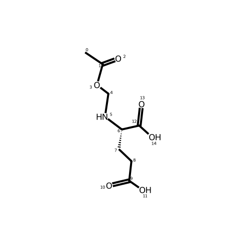 CC(=O)OCN[C@@H](CCC(=O)O)C(=O)O